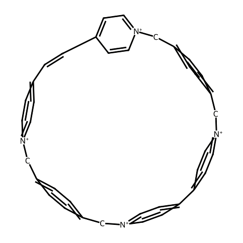 C1=C/c2cc[n+](cc2)Cc2ccc(cc2)C[n+]2ccc(cc2)-c2cc[n+](cc2)Cc2ccc(cc2)C[n+]2ccc/1cc2